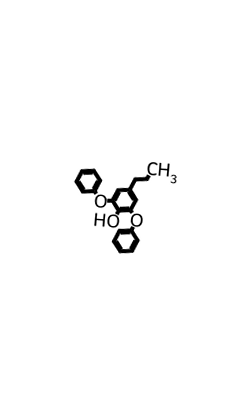 CCCc1cc(Oc2ccccc2)c(O)c(Oc2ccccc2)c1